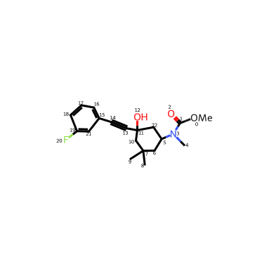 COC(=O)N(C)C1CC(C)(C)CC(O)(C#Cc2cccc(F)c2)C1